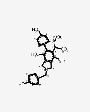 Cc1ccc(-c2c(C)c3c(c(C)c2C(OC(C)(C)C)C(=O)O)CN(Cc2ccc(F)cc2)C3)cc1